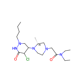 CCCCN1CC(N2CCN(CC(=O)N(CC)CC)C[C@H]2C)C(Cl)C(=O)N1